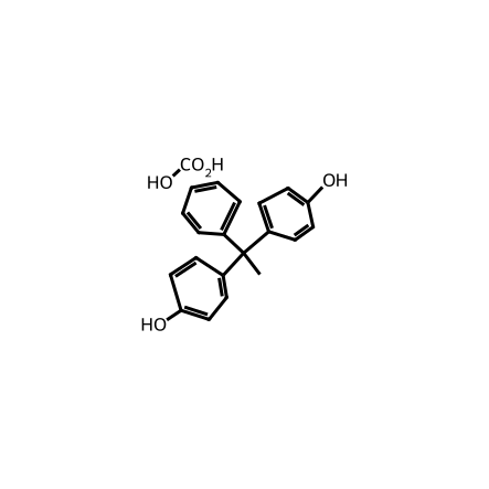 CC(c1ccccc1)(c1ccc(O)cc1)c1ccc(O)cc1.O=C(O)O